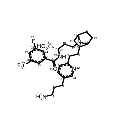 NCCCc1ccc(CCC2CC3CCC2N3CC[C@H](NC(=O)c2cc(F)cc(C(F)(F)F)c2)C(=O)O)nc1